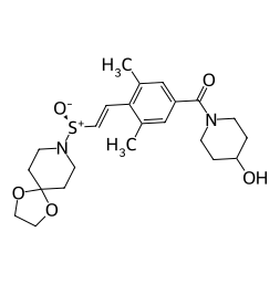 Cc1cc(C(=O)N2CCC(O)CC2)cc(C)c1/C=C/[S@+]([O-])N1CCC2(CC1)OCCO2